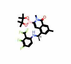 Cc1cc([C@@H](C)Nc2ccc(F)c(F)c2C(F)F)c2cc(B3OC(C)(C)C(C)(C)O3)n(C)c(=O)c2c1